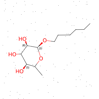 CCCCCCO[C@H]1OC(C)[C@@H](O)C(O)[C@H]1O